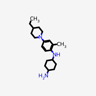 CCC1CCN(c2ccc(NC3CCC(N)CC3)c(C)c2)CC1